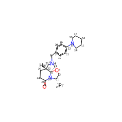 CC(C)[C@H]1CO[C@]23CCN(Cc4ccc(N5CCCCC5)cc4)C[C@H]2CCC(=O)N13